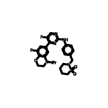 CC(C)N1CCOc2c(F)cc(-c3nc(Nc4ccc(CN5CCCCS5(=O)=O)cc4)ncc3F)cc21